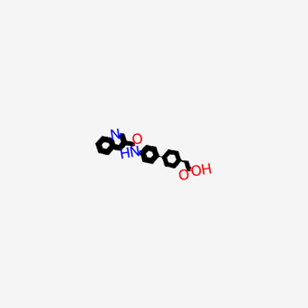 O=C(O)C[C@H]1CC[C@H](c2ccc(NC(=O)c3cnc4ccccc4c3)cc2)CC1